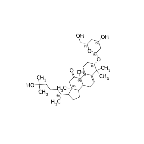 C[C@H](CCCC(C)(C)O)C1CCC2C3CC=C4C(CC[C@H](O[C@H]5C[C@@H](O)C[C@@H](CO)O5)C4(C)C)[C@]3(C)C(=O)C[C@@]21C